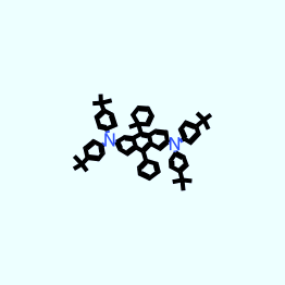 CC(C)(C)c1ccc(N(c2ccc(C(C)(C)C)cc2)c2ccc3c(C4(C)C=CC=CC4)c4cc(N(c5ccc(C(C)(C)C)cc5)c5ccc(C(C)(C)C)cc5)ccc4c(-c4ccccc4)c3c2)cc1